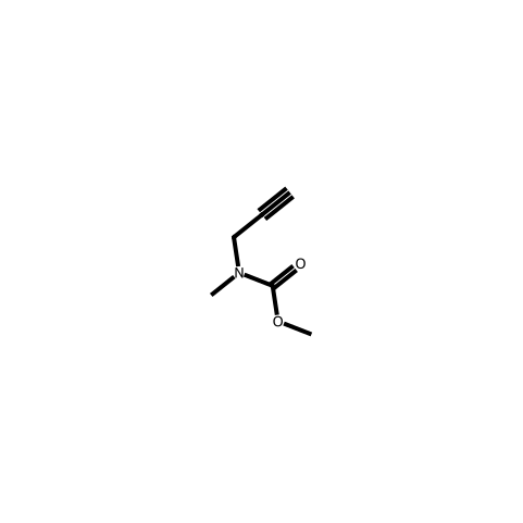 C#CCN(C)C(=O)OC